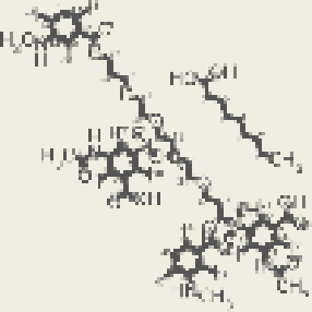 CCCCCCCCC(O)O.CNc1c(I)cc(I)c(C(=O)OCCCOCCOC(COCCOCCC(OC(=O)c2c(I)cc(I)c(NC)c2I)[N+](C)(C)c2c(I)c(NC(C)=O)c(I)c(C(=O)O)c2I)[N+](C)(C)c2c(I)c(NC(C)=O)c(I)c(C(=O)O)c2I)c1I